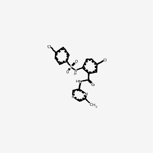 Cc1cncc(NC(=O)c2cc(Cl)ccc2NS(=O)(=O)c2ccc(Cl)cc2)n1